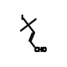 CC(C)(I)/C=C/C=O